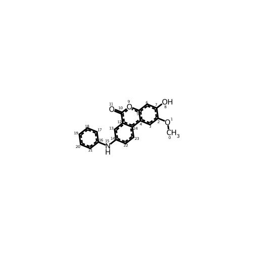 COc1cc2c(cc1O)oc(=O)c1cc(Nc3ccccc3)ccc12